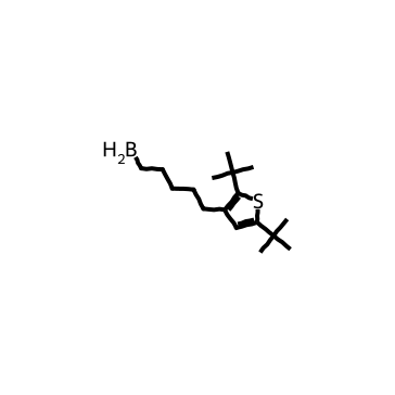 BCCCCCc1cc(C(C)(C)C)sc1C(C)(C)C